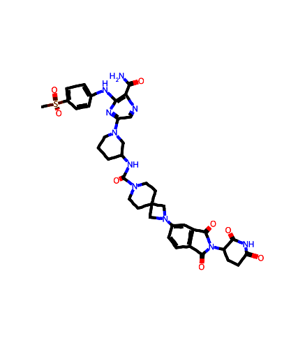 CS(=O)(=O)c1ccc(Nc2nc(N3CCCC(NC(=O)N4CCC5(CC4)CN(c4ccc6c(c4)C(=O)N(C4CCC(=O)NC4=O)C6=O)C5)C3)cnc2C(N)=O)cc1